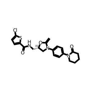 C=C1O[C@@H](CNC(=O)c2ccc(Cl)s2)CN1c1ccc(N2CCCCC2=O)cc1